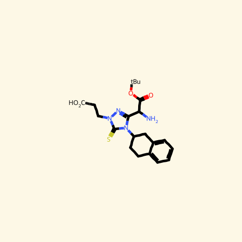 CC(C)(C)OC(=O)C(N)c1nn(CCC(=O)O)c(=S)n1C1CCc2ccccc2C1